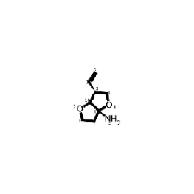 C=C[C@H]1CO[C@]2(N)CCOC12